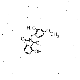 COc1ccc(CN2C(=O)c3cccc(O)c3C2=O)c(C)c1